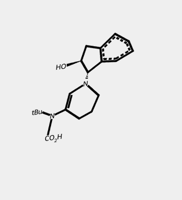 CC(C)(C)N(C(=O)O)C1=CN([C@H]2c3ccccc3C[C@@H]2O)CCC1